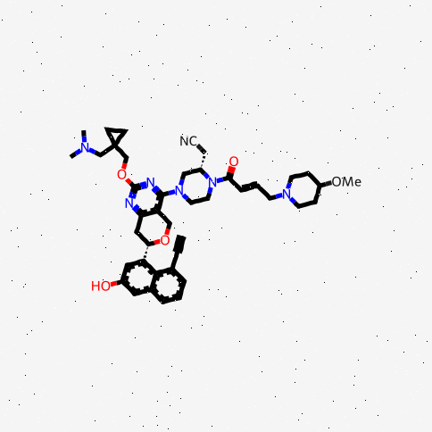 C#Cc1cccc2cc(O)cc([C@@H]3Cc4nc(OCC5(CN(C)C)CC5)nc(N5CCN(C(=O)/C=C/CN6CCC(OC)CC6)[C@@H](CC#N)C5)c4CO3)c12